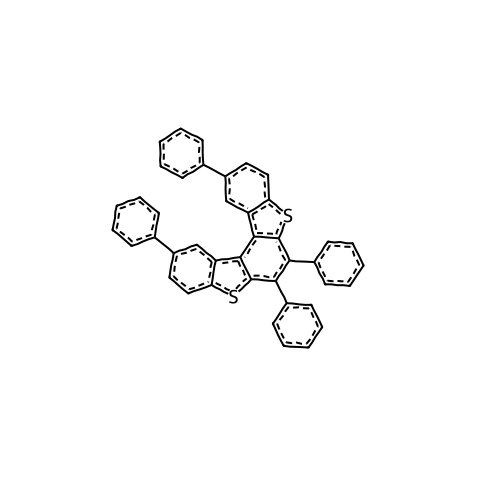 c1ccc(-c2ccc3sc4c(-c5ccccc5)c(-c5ccccc5)c5sc6ccc(-c7ccccc7)cc6c5c4c3c2)cc1